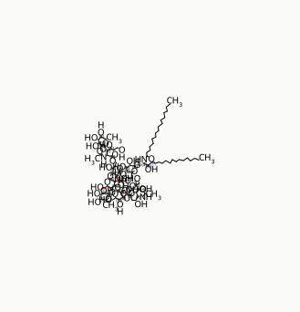 CCCCCCCCCCCCC/C=C/[C@@H](O)[C@H](CO[C@@H]1OC(CO)[C@@H](O[C@@H]2OC(CO[C@@H]3OC(CO)[C@@H](O)[C@H](O[C@H]4OC(C)[C@@H](O)C(O)[C@@H]4O)C3NC(C)=O)[C@H](O)[C@H](O[C@@H]3OC(CO)[C@@H](O[C@H]4OC(C)[C@@H](O)C(O)[C@@H]4O)[C@H](O[C@@H]4OC(CO)[C@H](O)[C@H](O[C@]5(C(=O)O)CC(O)[C@@H](NC(C)=O)C([C@H](O)[C@H](O)CO)O5)C4O)C3NC(C)=O)C2O)[C@H](O)C1O)NC(=O)CCCCCCCCCCCCCCCCC